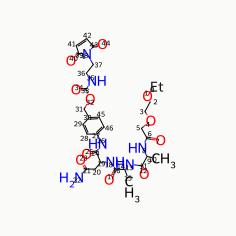 CCOCCOCC(=O)NC(C)C(=O)NC(C)C(=O)NC(CC(N)=O)C(=O)Nc1ccc(COC(=O)NCCN2C(=O)C=CC2=O)cc1